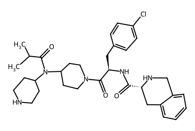 CC(C)C(=O)N(C1CCNCC1)C1CCN(C(=O)[C@@H](Cc2ccc(Cl)cc2)NC(=O)[C@H]2Cc3ccccc3CN2)CC1